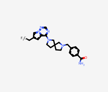 NC(=O)c1ccc(CN2CCC3(CCN(c4ncnn5cc(CC(F)(F)F)cc45)C3)C2)cc1